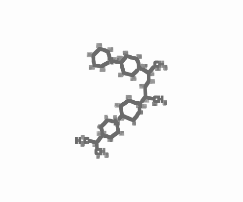 CC(C)N1CCN(C2CCN(C(C)CCC(C)N3CCC(N4CCCCC4)CC3)CC2)CC1